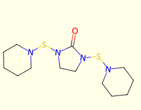 O=C1N(SN2CCCCC2)CCN1SN1CCCCC1